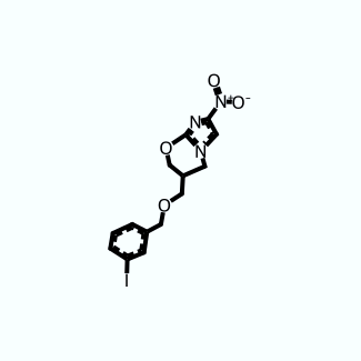 O=[N+]([O-])c1cn2c(n1)OCC(COCc1cccc(I)c1)C2